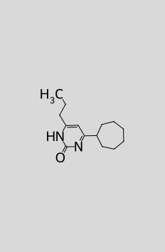 CCCc1cc(C2CCCCCC2)nc(=O)[nH]1